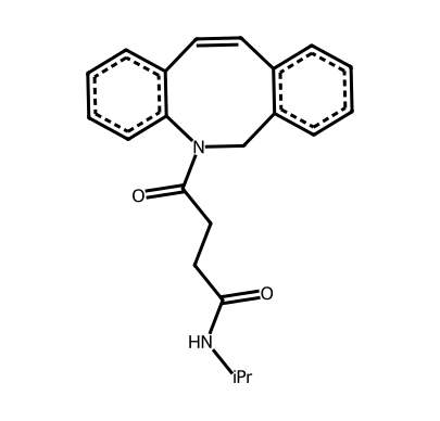 CC(C)NC(=O)CCC(=O)N1Cc2ccccc2/C=C\c2ccccc21